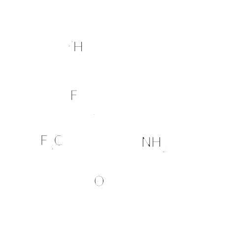 [2H]c1ccccc1C(F)(C(N)=O)C(F)(F)F